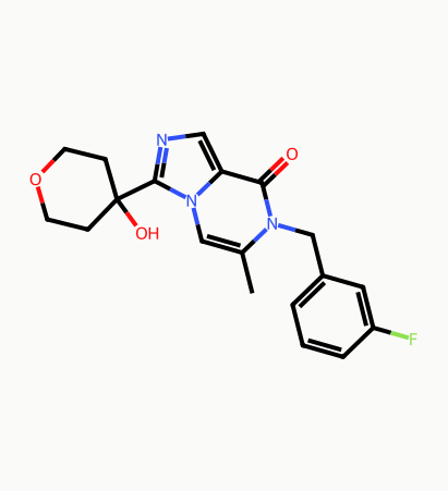 Cc1cn2c(C3(O)CCOCC3)ncc2c(=O)n1Cc1cccc(F)c1